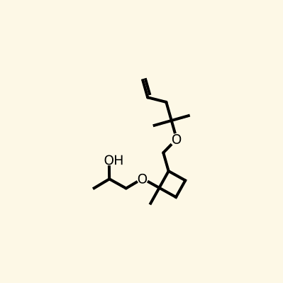 C=CCC(C)(C)OCC1CCC1(C)OCC(C)O